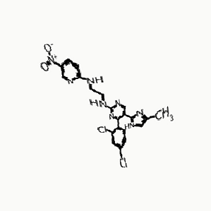 Cc1c[nH]c(-c2cnc(NCCNc3ccc([N+](=O)[O-])cn3)nc2-c2ccc(Cl)cc2Cl)n1